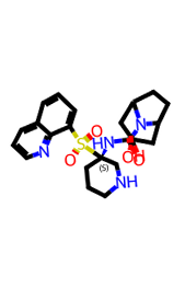 O=C(N[C@]1(S(=O)(=O)c2cccc3cccnc23)CCCNC1)N1C2CCC1CC(O)C2